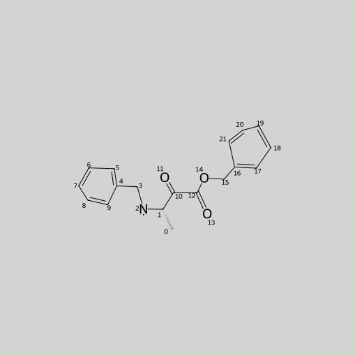 C[C@H]([N]Cc1ccccc1)C(=O)C(=O)OCc1ccccc1